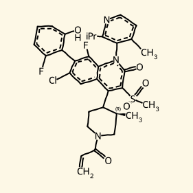 C=CC(=O)N1CCC(c2c(S(C)(=O)=O)c(=O)n(-c3c(C)ccnc3C(C)C)c3c(F)c(-c4c(O)cccc4F)c(Cl)cc23)[C@@H](C)C1